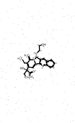 C=C1C(CC)=C([C@@](O)(CC)C(C)=O)C=C2c3nc4ccccc4cc3[C@@H](OCCO)N12